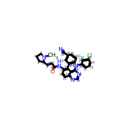 CN1CCCC1/C=C/C(=O)Nc1ccc2ncnc(Nc3cccc(Cl)c3F)c2c1-c1cccc(C#N)c1